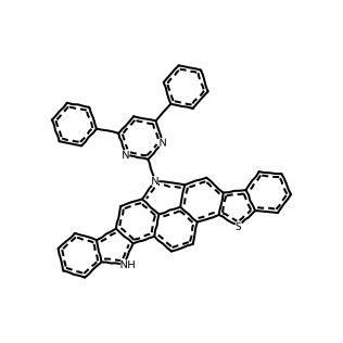 c1ccc(-c2cc(-c3ccccc3)nc(-n3c4cc5c6ccccc6[nH]c5c5ccc6c7sc8ccccc8c7cc3c6c54)n2)cc1